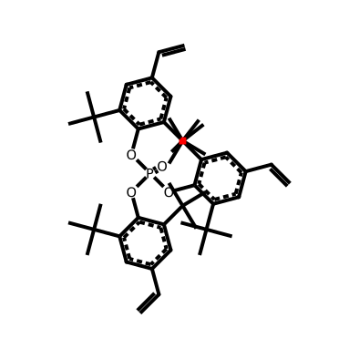 C=Cc1cc(C(C)(C)C)c(OP(=O)(Oc2c(C(C)(C)C)cc(C=C)cc2C(C)(C)C)Oc2c(C(C)(C)C)cc(C=C)cc2C(C)(C)C)c(C(C)(C)C)c1